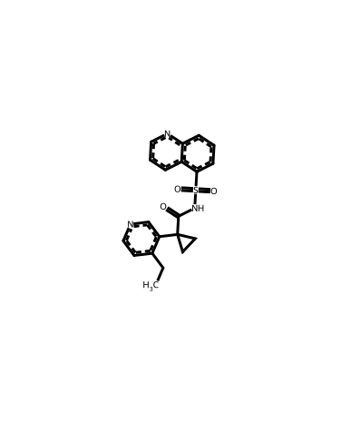 CCc1ccncc1C1(C(=O)NS(=O)(=O)c2cccc3ncccc23)CC1